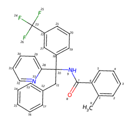 Cc1ccccc1C(=O)NC(Cc1ccccc1)(c1cccc(C(F)(F)F)c1)c1ccccn1